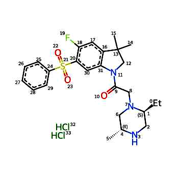 CC[C@H]1CN[C@H](C)CN1CC(=O)N1CC(C)(C)c2cc(F)c(S(=O)(=O)c3ccccc3)cc21.Cl.Cl